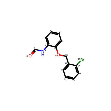 O=CNc1ccccc1OCc1ccccc1Br